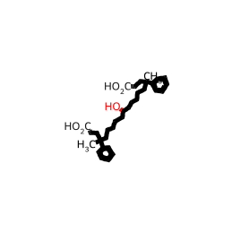 CC(CCCCCC(O)CCCCCC(C)(CCC(=O)O)c1ccccc1)(CCC(=O)O)c1ccccc1